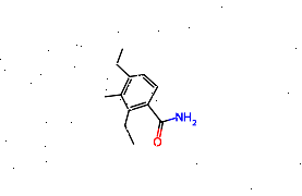 CCc1ccc(C(N)=O)c(CC)c1C